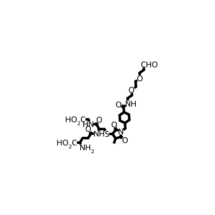 CC1C(=O)N(CC2CCC(C(=O)NCCOCCOCCC=O)CC2)C(=O)C1SCC(NC(=O)CCC(N)C(=O)O)C(=O)NCC(=O)O